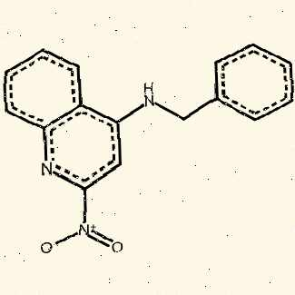 O=[N+]([O-])c1cc(NCc2ccccc2)c2ccccc2n1